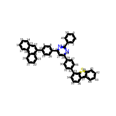 c1ccc(-c2nc(-c3ccc(-c4cc5ccccc5c5ccccc45)cc3)cc(-c3ccc(-c4cccc5c4sc4ccccc45)cc3)n2)cc1